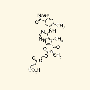 CNC(=O)c1ccc(C)c(Nc2ncnn3cc(C(=O)N(C)C(=O)OCOC(=O)/C=C/C(=O)O)c(C)c23)c1